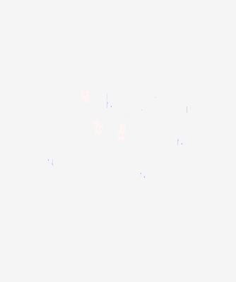 CC(C)COc1ncc(N(C)C)cc1C1(C(=O)NS(=O)(=O)c2cccc3ncccc23)CC1